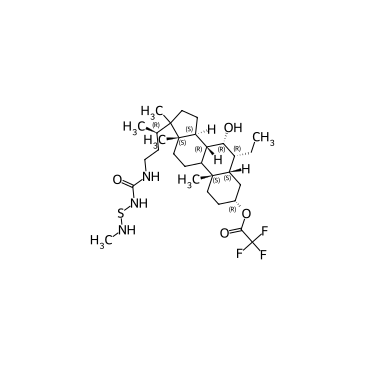 CC[C@H]1[C@@H](O)[C@@H]2C(CC[C@@]3(C)[C@H]2CCC3(C)[C@H](C)CCNC(=O)NSNC)[C@@]2(C)CC[C@@H](OC(=O)C(F)(F)F)C[C@@H]12